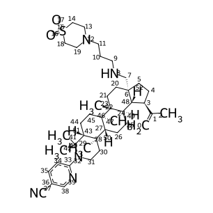 C=C(C)[C@@H]1CC[C@]2(CNCCCN3CCS(=O)(=O)CC3)CC[C@]3(C)[C@H](CC[C@@H]4[C@@]5(C)CCN(c6ccc(C#N)cn6)C(C)(C)[C@@H]5CC[C@]43C)[C@@H]12